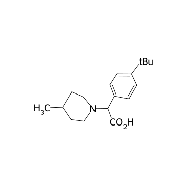 CC1CCN(C(C(=O)O)c2ccc(C(C)(C)C)cc2)CC1